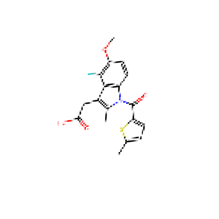 COc1ccc2c(c1F)c(CC(=O)O)c(C)n2C(=O)c1ccc(C)s1